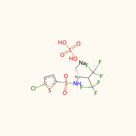 O=S(=O)(N[C@H]([CH2][Na])C(C(F)(F)F)C(F)(F)F)c1ccc(Cl)s1.O=S(=O)(O)O